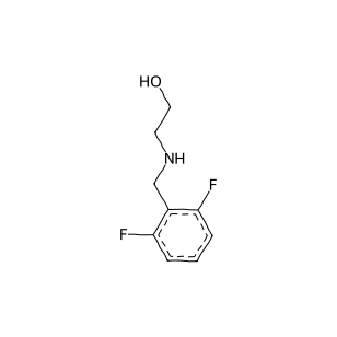 OCCNCc1c(F)cccc1F